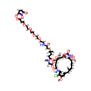 COc1cc2cc(c1Cl)N(C)C(=O)C[C@H](OC(=O)[C@H](C)N(C)C(=O)CCC(C)(C)SCC(=O)NCCOCCOCCOCCOCCC(=O)ON1C(=O)CCC1=O)[C@]1(C)O[C@H]1[C@H](C)[C@@H]1C[C@@](O)(NC(=O)O1)[C@H](OC)/C=C/C=C(\C)C2